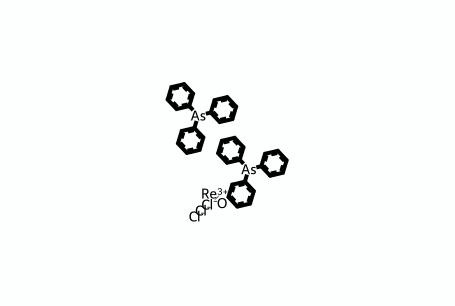 [Cl-].[Cl-].[Cl-].[O]=[Re+3].c1ccc([As](c2ccccc2)c2ccccc2)cc1.c1ccc([As](c2ccccc2)c2ccccc2)cc1